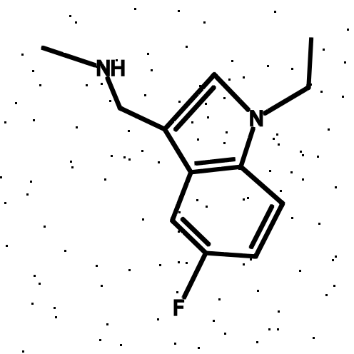 CCn1cc(CNC)c2cc(F)ccc21